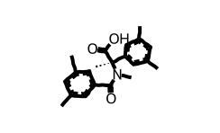 Cc1cc(C)cc(C(=O)N(C)[C@@](C)(C(=O)O)c2cc(C)cc(C)c2)c1